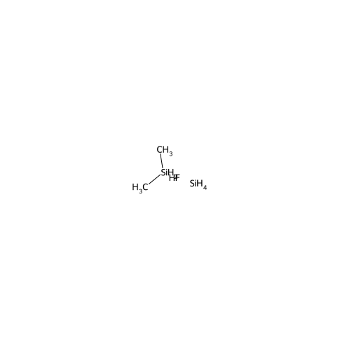 C[SiH2]C.F.[SiH4]